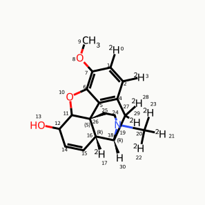 [2H]c1c([2H])c2c3c(c1OC)OC1C(O)C=C[C@@]4([2H])[C@H](N(C([2H])([2H])[2H])CC[C@]314)C2([2H])[2H]